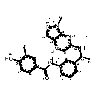 Cc1cc(C(=O)Nc2cccc([C@H](C)Nc3cnc4cnn(C)c4n3)c2)ccc1O